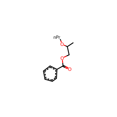 CCCOC(C)COC(=O)c1ccccc1